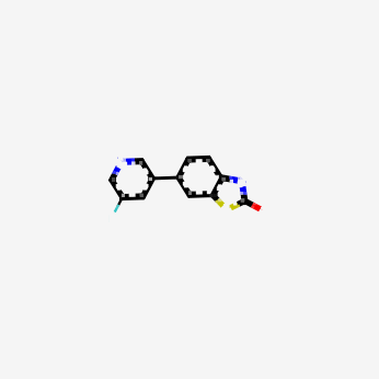 O=c1[nH]c2ccc(-c3cncc(F)c3)cc2s1